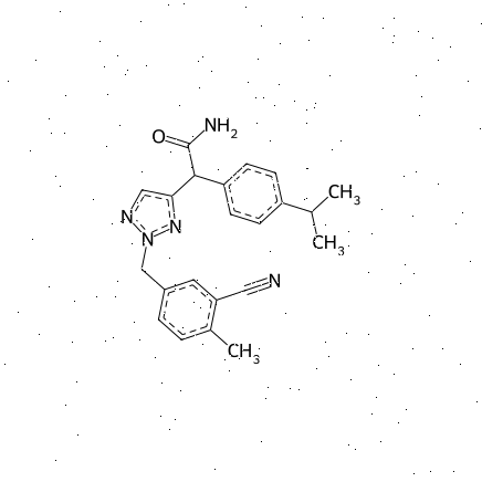 Cc1ccc(Cn2ncc(C(C(N)=O)c3ccc(C(C)C)cc3)n2)cc1C#N